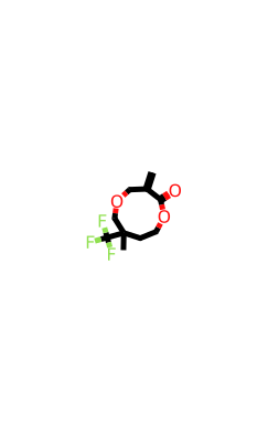 C=C1COCC(C)(C(F)(F)F)CCOC1=O